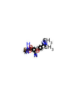 Cc1nn(C)cc1-c1ccc(Oc2ccc(S(=O)(=O)Nc3nccs3)cc2C#N)cc1